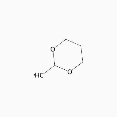 [CH]C1OCCCO1